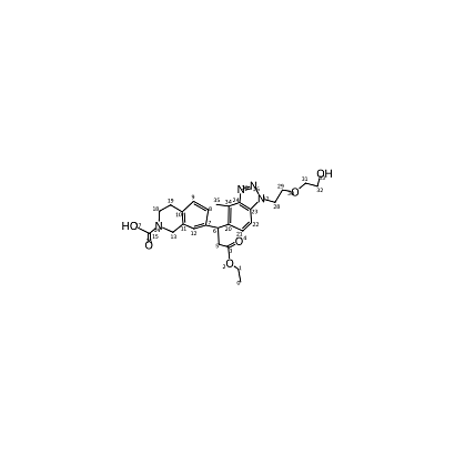 CCOC(=O)CC(c1ccc2c(c1)CN(C(=O)O)CC2)c1ccc2c(nnn2CCOCCO)c1C